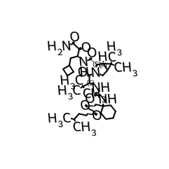 CC(C)CCS(=O)(=O)CC1(NC(=O)N[C@H](C(=O)N2CC3[C@@H]([C@H]2C(=O)NC(CC2CCC2)C(=O)C(N)=O)C3(C)C)C(C)(C)C)CCCCC1